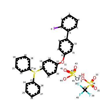 Ic1ccccc1-c1ccc(Oc2ccc([S+](c3ccccc3)c3ccccc3)cc2)cc1.O=S(=O)(O)C(F)(F)F.O=S(=O)([O-])C(F)(F)F